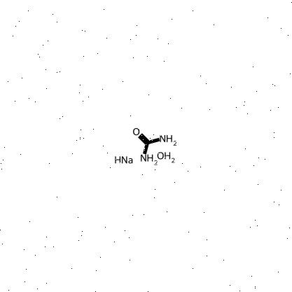 NC(N)=O.O.[NaH]